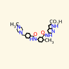 Cc1ccc(NC(=O)c2ccc(CN3CCN(C)CC3)cc2)cc1C(=O)Nc1cnc2[nH]c(C(=O)O)cc2c1